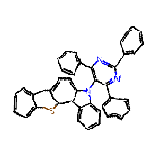 c1ccc(-c2nc(-c3ccccc3)c(-n3c4ccccc4c4c5sc6ccccc6c5ccc43)c(-c3ccccc3)n2)cc1